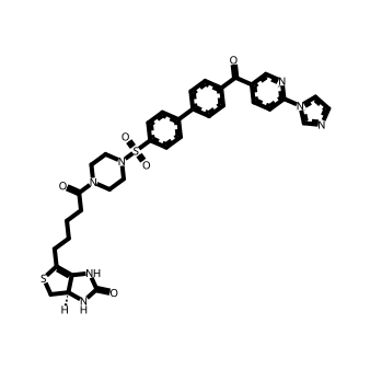 O=C1NC2=C(CCCCC(=O)N3CCN(S(=O)(=O)c4ccc(-c5ccc(C(=O)c6ccc(-n7ccnc7)nc6)cc5)cc4)CC3)SC[C@@H]2N1